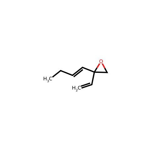 C=CC1(/C=C/CC)CO1